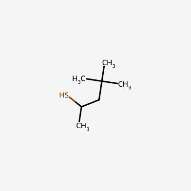 CC(S)CC(C)(C)C